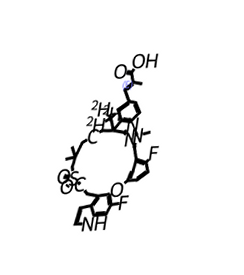 [2H]C([2H])([2H])C1(c2cccc(/C=C(\C)C(=O)O)c2)CCCC(C)(C)CS(=O)(=O)CCc2c(c(F)cc3[nH]ccc23)Oc2ccc(F)c(c2)-c2nc1nn2C